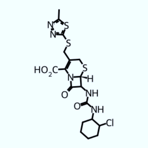 Cc1nnc(SCC2=C(C(=O)O)N3C(=O)C(NC(=O)NC4CCCCC4Cl)[C@H]3SC2)s1